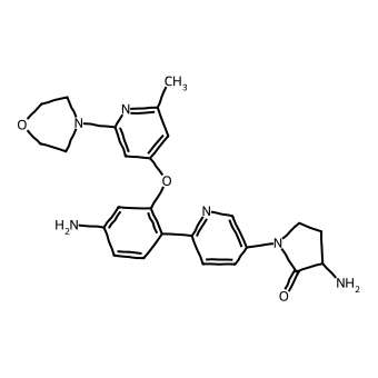 Cc1cc(Oc2cc(N)ccc2-c2ccc(N3CCC(N)C3=O)cn2)cc(N2CCOCC2)n1